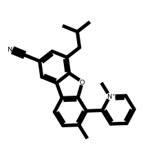 Cc1ccc2c(oc3c(CC(C)C)cc(C#N)cc32)c1-c1cccc[n+]1C